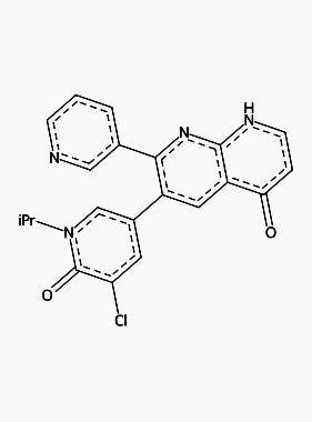 CC(C)n1cc(-c2cc3c(=O)cc[nH]c3nc2-c2cccnc2)cc(Cl)c1=O